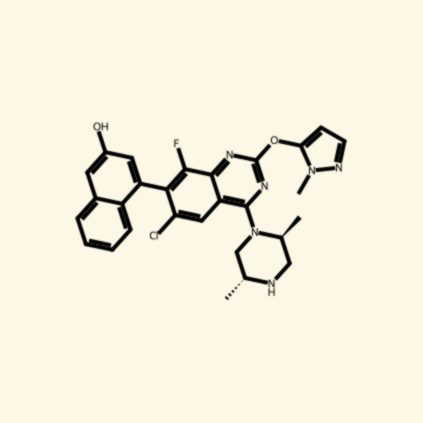 C[C@@H]1CN(c2nc(Oc3ccnn3C)nc3c(F)c(-c4cc(O)cc5ccccc45)c(Cl)cc23)[C@@H](C)CN1